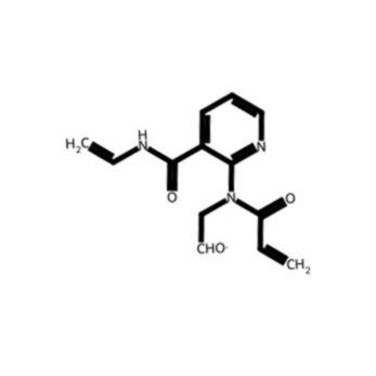 C=CNC(=O)c1cccnc1N(C[C]=O)C(=O)C=C